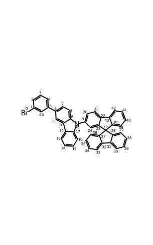 Brc1cccc(-c2ccc3c(c2)c2ccccc2n3-c2ccc3c(c2)C2(c4ccccc4-c4ccccc42)c2ccccc2-3)c1